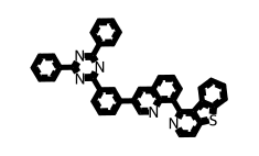 c1ccc(-c2nc(-c3ccccc3)nc(-c3cccc(-c4cnc5c(-c6nccc7sc8ccccc8c67)cccc5c4)c3)n2)cc1